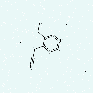 CCc1cnccc1CC#N